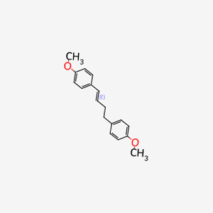 COc1ccc(/C=C/CCc2ccc(OC)cc2)cc1